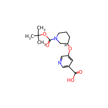 CC(C)(C)OC(=O)N1CCC[C@@H](Oc2cncc(C(=O)O)c2)C1